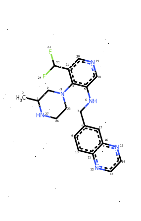 CC1CN(c2c(NCc3ccc4nccnc4c3)cncc2C(F)F)CCN1